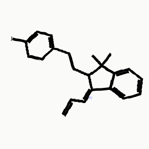 C=C/C=C1/c2ccccc2C(C)(C)C1CCC1=CC=C(I)CC1